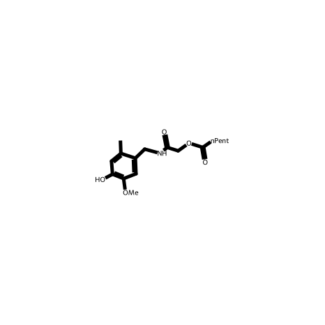 CCCCCC(=O)OCC(=O)NCc1cc(OC)c(O)cc1C